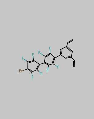 C=Cc1cc(C=C)cc(-c2c(F)c(F)c(-c3c(F)c(F)c(Br)c(F)c3F)c(F)c2F)c1